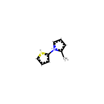 Cc1cccn1-c1cccs1